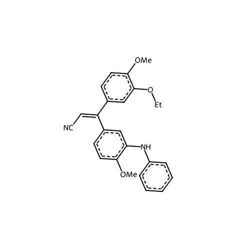 CCOc1cc(C(=CC#N)c2ccc(OC)c(Nc3ccccc3)c2)ccc1OC